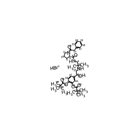 Br.CC(C)(CNC(=O)[C@H]1CCCN1C(=O)Cc1ccccc1)NCC(O)c1ccc(OC(=O)C(C)(C)C)c(OC(=O)C(C)(C)C)c1